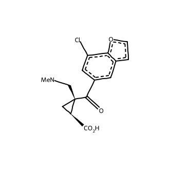 CNC[C@]1(C(=O)c2cc(Cl)c3occc3c2)C[C@@H]1C(=O)O